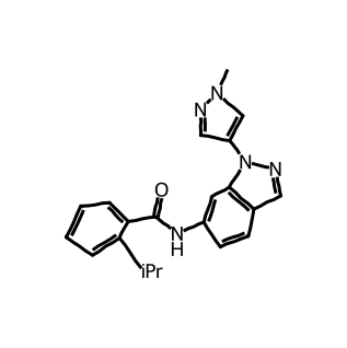 CC(C)c1ccccc1C(=O)Nc1ccc2cnn(-c3cnn(C)c3)c2c1